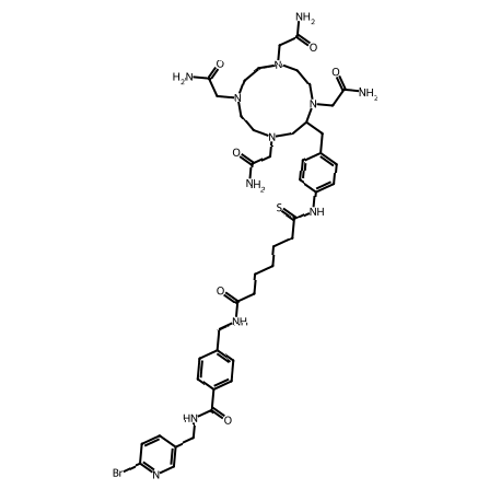 NC(=O)CN1CCN(CC(N)=O)CCN(CC(N)=O)C(Cc2ccc(NC(=S)CCCCCC(=O)NCc3ccc(C(=O)NCc4ccc(Br)nc4)cc3)cc2)CN(CC(N)=O)CC1